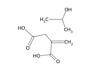 C=C(CC(=O)O)C(=O)O.CC(C)O